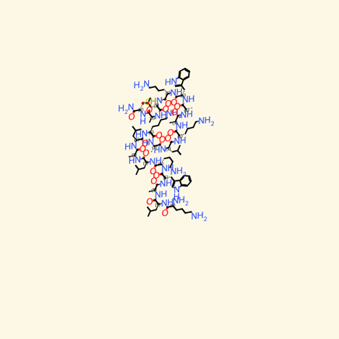 CC(C)C[C@H](NC(=O)[C@H](C)NC(=O)[C@H](CCCCN)NC(=O)[C@H](CC(C)C)NC(=O)[C@H](C)NC(=O)[C@H](CC(C)C)NC(=O)[C@H](CCCCN)NC(=O)[C@H](Cc1c[nH]c2ccccc12)NC(=O)[C@H](C)NC(=O)[C@H](CC(C)C)NC(=O)[C@@H](N)CCCCN)C(=O)N[C@@H](CCCCN)C(=O)N[C@@H](C)C(=O)N[C@@H](C)C(=O)N[C@@H](Cc1c[nH]c2ccccc12)C(=O)N[C@@H](CCCCN)C(=O)N[C@@H](CC(C)C)C(=O)N[C@@H](C)C(=O)N[C@@H](CS)C(N)=O